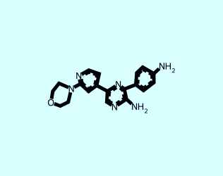 Nc1ccc(-c2nc(-c3ccnc(N4CCOCC4)c3)cnc2N)cc1